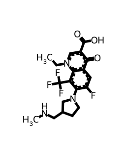 CCn1cc(C(=O)O)c(=O)c2cc(F)c(N3CCC(CNC)C3)c(C(F)(F)F)c21